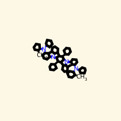 Cc1ccccc1N(c1ccccc1)c1cccc2c1c1cccc3c4c(-c5ccccc5)c5c(c(-c6ccccc6)c4n2c13)c1cccc2c3c(N(c4ccccc4)c4ccccc4C)cccc3n5c21